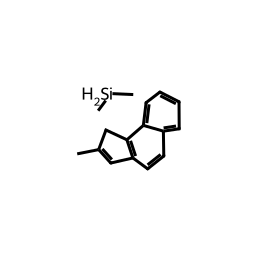 CC1=Cc2ccc3ccccc3c2C1.C[SiH2]C